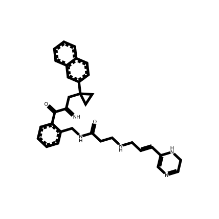 N=C(CC1(c2ccc3ccccc3c2)CC1)C(=O)c1ccccc1CNC(=O)CCNC/C=C/C1=CN=CCN1